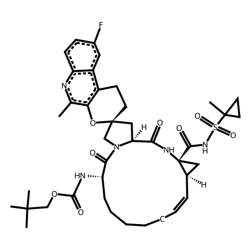 Cc1nc2ccc(F)cc2c2c1O[C@]1(CC2)C[C@H]2C(=O)N[C@]3(C(=O)NS(=O)(=O)C4(C)CC4)C[C@H]3/C=C\CCCCC[C@H](NC(=O)OCC(C)(C)C)C(=O)N2C1